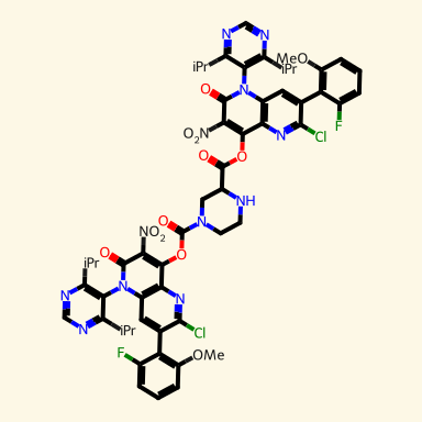 COc1cccc(F)c1-c1cc2c(nc1Cl)c(OC(=O)C1CN(C(=O)Oc3c([N+](=O)[O-])c(=O)n(-c4c(C(C)C)ncnc4C(C)C)c4cc(-c5c(F)cccc5OC)c(Cl)nc34)CCN1)c([N+](=O)[O-])c(=O)n2-c1c(C(C)C)ncnc1C(C)C